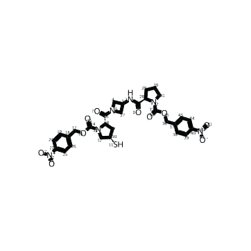 O=C(NC1CN(C(=O)[C@@H]2C[C@H](S)CN2C(=O)OCc2ccc([N+](=O)[O-])cc2)C1)[C@H]1CCCN1C(=O)OCc1ccc([N+](=O)[O-])cc1